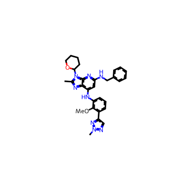 COc1c(Nc2cc(NCc3ccccc3)nc3c2nc(C)n3C2CCCCO2)cccc1-c1cnn(C)n1